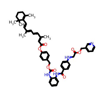 CC(C=CC1=C(C)CCCC1(C)C)=CC=CC(C)=CC(=O)Oc1ccc(COC(=O)Nc2ccccc2NC(=O)c2ccc(NCC(=O)OCc3cccnc3)cc2)cc1